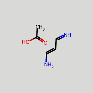 CC(=O)O.N=CC=CN